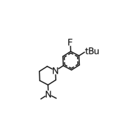 CN(C)C1CCCN(c2ccc(C(C)(C)C)c(F)c2)C1